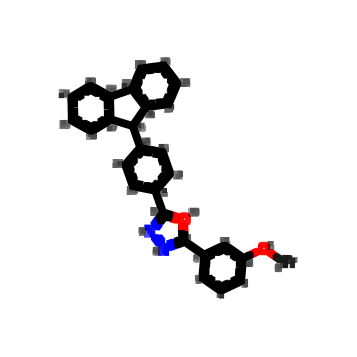 CC(C)Oc1cccc(-c2nnc(-c3ccc(C4c5ccccc5-c5ccccc54)cc3)o2)c1